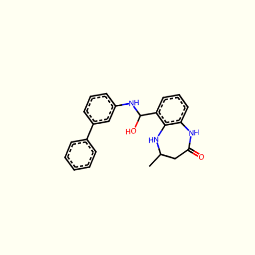 CC1CC(=O)Nc2cccc(C(O)Nc3cccc(-c4ccccc4)c3)c2N1